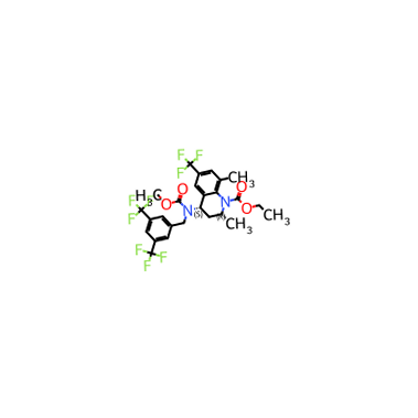 CCOC(=O)N1c2c(C)cc(C(F)(F)F)cc2[C@@H](N(Cc2cc(C(F)(F)F)cc(C(F)(F)F)c2)C(=O)OC)C[C@H]1C